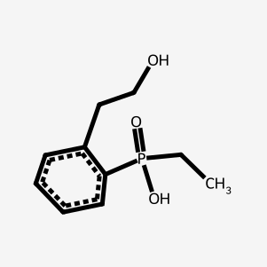 CCP(=O)(O)c1ccccc1CCO